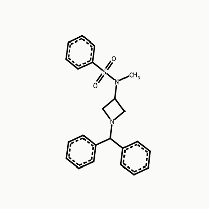 CN(C1CN(C(c2ccccc2)c2ccccc2)C1)S(=O)(=O)c1ccccc1